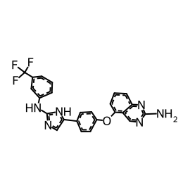 Nc1ncc2c(Oc3ccc(-c4cnc(Nc5cccc(C(F)(F)F)c5)[nH]4)cc3)cccc2n1